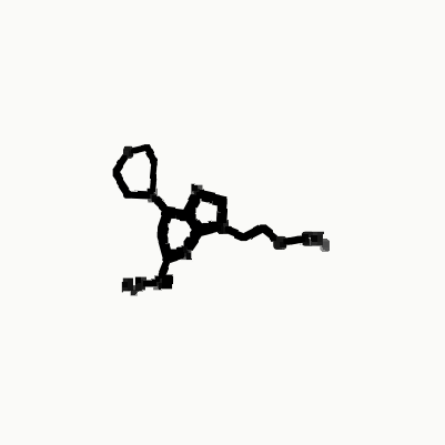 COCCn1cnc2c(N3CCOCC3)cc(NN)nc21